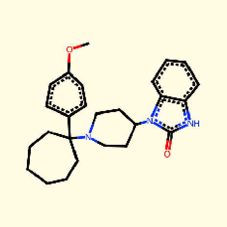 COc1ccc(C2(N3CCC(n4c(=O)[nH]c5ccccc54)CC3)CCCCCC2)cc1